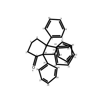 O=C1CCCC(c2ccccc2)(c2ccccc2)C1(c1ccccc1)c1ccccc1